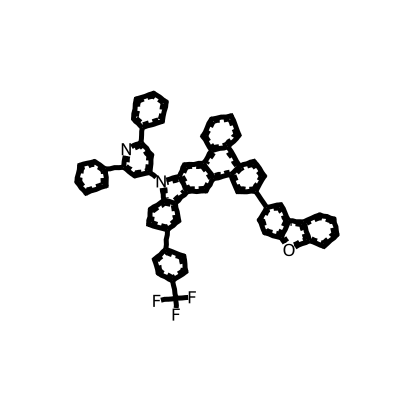 FC(F)(F)c1ccc(-c2ccc3c(c2)c2cc4c5cc(-c6ccc7oc8ccccc8c7c6)ccc5c5ccccc5c4cc2n3-c2cc(-c3ccccc3)nc(-c3ccccc3)c2)cc1